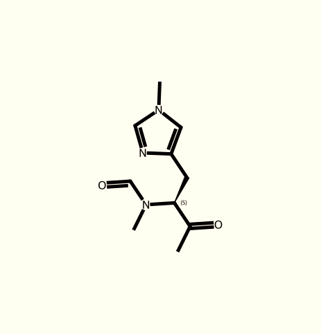 CC(=O)[C@H](Cc1cn(C)cn1)N(C)C=O